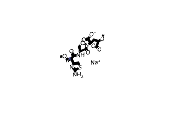 CO/N=C(\C(=O)N[C@H]1CON(C2(C(=O)[O-])CC(OC)C(=O)O2)C1=O)c1csc(N)n1.[Na+]